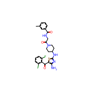 Cc1cccc(C(=O)NCC(=O)N2CCC(Nc3nc(N)c(C(=O)c4c(F)cccc4F)s3)CC2)c1